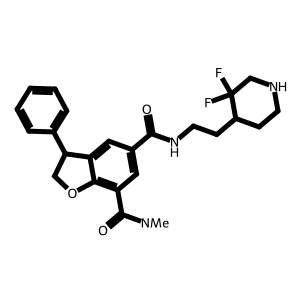 CNC(=O)c1cc(C(=O)NCCC2CCNCC2(F)F)cc2c1OCC2c1ccccc1